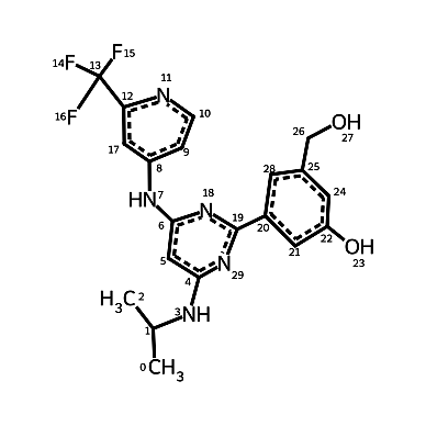 CC(C)Nc1cc(Nc2ccnc(C(F)(F)F)c2)nc(-c2cc(O)cc(CO)c2)n1